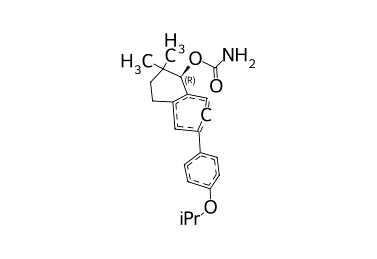 CC(C)Oc1ccc(-c2ccc3c(c2)CCC(C)(C)[C@H]3OC(N)=O)cc1